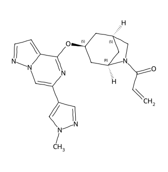 C=CC(=O)N1C[C@@H]2C[C@H](Oc3nc(-c4cnn(C)c4)cn4nccc34)C[C@H]1C2